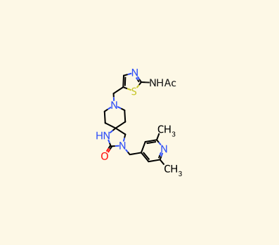 CC(=O)Nc1ncc(CN2CCC3(CC2)CN(Cc2cc(C)nc(C)c2)C(=O)N3)s1